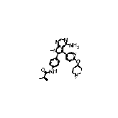 C=C(C)C(=O)Nc1ccc(-c2c(-c3ccc(OC4CCN(C)CC4)nc3)c3c(N)ncnc3n2C)cc1